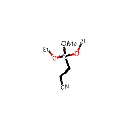 CCO[Si](CCC#N)(OC)OCC